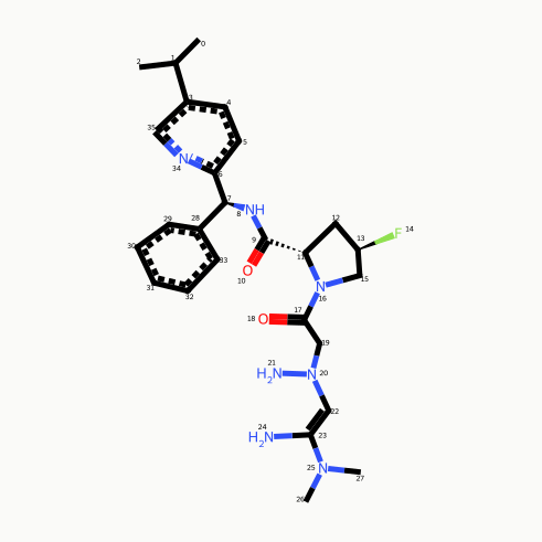 CC(C)c1ccc([C@@H](NC(=O)[C@@H]2C[C@@H](F)CN2C(=O)CN(N)/C=C(\N)N(C)C)c2ccccc2)nc1